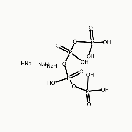 O=P(O)(O)OP(=O)(O)OP(=O)(O)OP(=O)(O)O.[NaH].[NaH].[NaH]